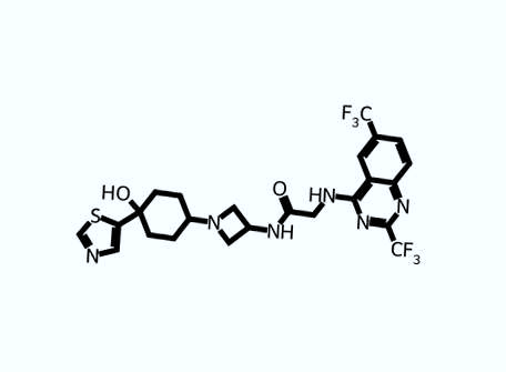 O=C(CNc1nc(C(F)(F)F)nc2ccc(C(F)(F)F)cc12)NC1CN(C2CCC(O)(c3cncs3)CC2)C1